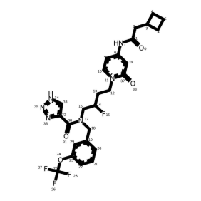 O=C(CC1CCC1)Nc1ccn(CCC(F)CN(Cc2cccc(OC(F)(F)F)c2)C(=O)c2c[nH]nn2)c(=O)c1